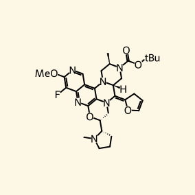 COc1ncc2c3c4c(nc2c1F)O[C@@H]([C@@H]1CCCN1C)CN4C(=C1CC=CO1)[C@H]1CN(C(=O)OC(C)(C)C)[C@H](C)CN31